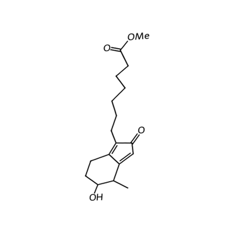 COC(=O)CCCCCCC1=C2CCC(O)C(C)C2=CC1=O